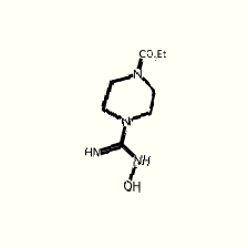 CCOC(=O)N1CCN(C(=N)NO)CC1